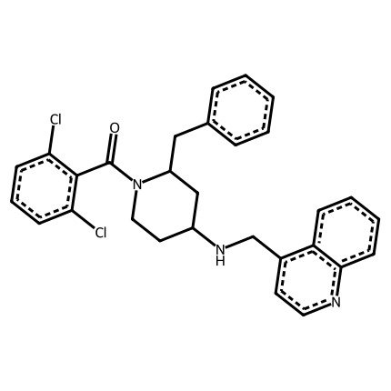 O=C(c1c(Cl)cccc1Cl)N1CCC(NCc2ccnc3ccccc23)CC1Cc1ccccc1